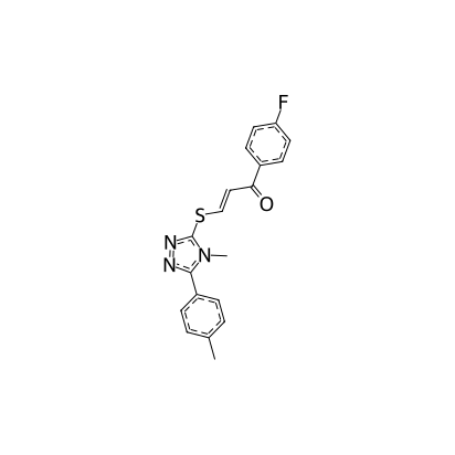 Cc1ccc(-c2nnc(S/C=C/C(=O)c3ccc(F)cc3)n2C)cc1